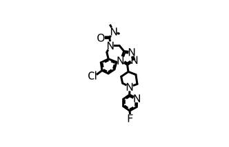 CN(C)C(=O)N1Cc2cc(Cl)ccc2-n2c(nnc2C2CCN(c3ccc(F)cn3)CC2)C1